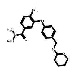 CON(C)C(=O)c1ccc([N+](=O)[O-])c(Nc2ccc(COC3CCCCO3)cc2)c1